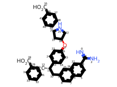 N=C(N)c1ccc2ccc(C[C@H](C(=O)O)c3ccc(O[C@H]4CCNC4)cc3)cc2c1.O=C(O)c1ccccc1.O=C(O)c1ccccc1